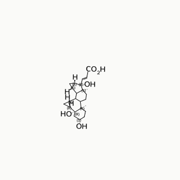 C[C@]12CCC3C(C1[C@@H]1C[C@@H]1[C@@]2(O)C=CC(=O)O)[C@H]1C[C@H]1[C@]1(O)C[C@@H](O)CC[C@]31C